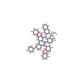 CC1(C)c2cc3ccccc3cc2N2c3c(cccc31)B1c3c(cc4c(oc5ccccc54)c32)-c2cc(-c3ccccc3)ccc2N1c1cccc2c1oc1ccccc12